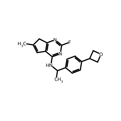 CC1=Cc2c(nc(F)nc2NC(C)c2ccc(C3COC3)cc2)C1